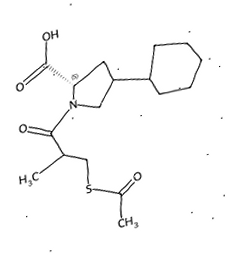 CC(=O)SCC(C)C(=O)N1CC(C2CCCCC2)C[C@H]1C(=O)O